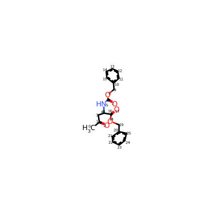 CC(=O)CC(NC(=O)OCc1ccccc1)C(=O)OCc1ccccc1